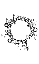 CC[C@H](C)[C@H]1C(=O)N[C@@H]([C@@H](C)O)C(=O)N(C)CC(=O)N(C)[C@@H](CC(C)C)C(=O)N[C@H](C(=O)N2CCCCC2)CC(=O)N(C)[C@@H](C(C)C)C(=O)N[C@@H](COCC(O)C(F)(F)F)C(=O)N(C)[C@@H](CC(C)C)C(=O)N(C)[C@@H](Cc2ccccc2)C(=O)N[C@@H](CC(C)C)C(=O)N(C)[C@@H](Cc2ccccc2)C(=O)N1C